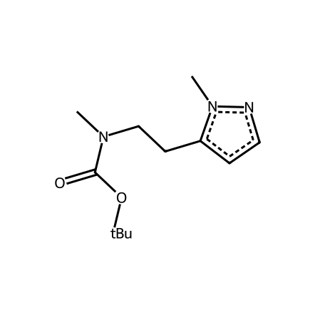 CN(CCc1ccnn1C)C(=O)OC(C)(C)C